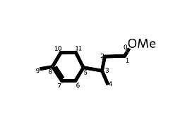 COCCC(C)C1CC=C(C)CC1